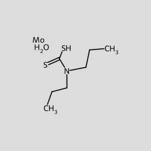 CCCN(CCC)C(=S)S.O.[Mo]